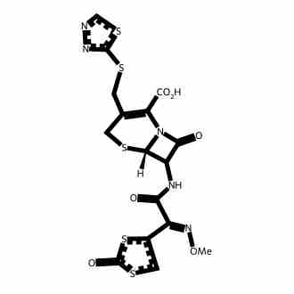 CON=C(C(=O)NC1C(=O)N2C(C(=O)O)=C(CSc3nncs3)CS[C@@H]12)c1csc(=O)s1